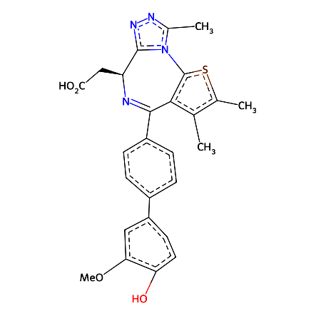 COc1cc(-c2ccc(C3=N[C@@H](CC(=O)O)c4nnc(C)n4-c4sc(C)c(C)c43)cc2)ccc1O